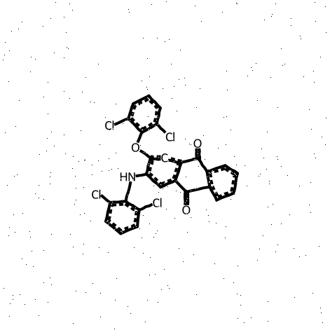 O=C1c2ccccc2C(=O)c2cc(Oc3c(Cl)cccc3Cl)c(Nc3c(Cl)cccc3Cl)cc21